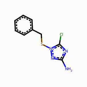 Nc1nc(Cl)n(SCc2ccccc2)n1